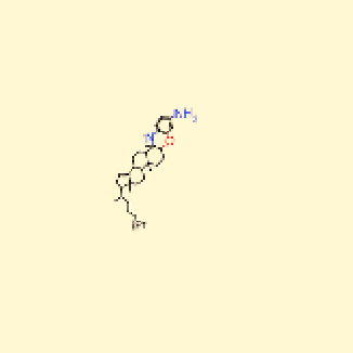 CC(C)CCCC(C)C1CCC2C3CCC4C(C)(CCC5Oc6cc(N)ccc6N(C)C54C)C3CCC12C